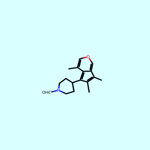 Cc1cocc2c(C)c(C)c(C3CCN(C=O)CC3)c1-2